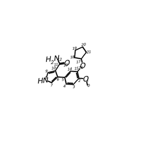 COc1ccc(-c2c[nH]cc2C(N)=O)cc1OC1CCCC1